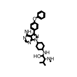 CN[C@H](C(C)C)C(O)NC1CCC(n2nc(-c3ccc(Oc4ccccc4)cc3)c3c(N)ncnc32)CC1